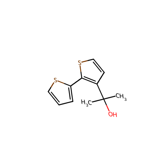 CC(C)(O)c1ccsc1-c1cccs1